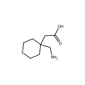 NCC1(CC(=O)O)CCSCC1